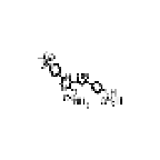 CNC(=O)Nc1ccc(-c2cc(-c3nc(-c4ccc(S(=O)(=O)C(C)C)cc4)cnc3OC(N)=O)on2)cc1